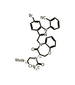 CN[C@@H](C)CN(C(=O)C(F)(F)F)[C@H]1COc2ccccc2N(Cc2nn(-c3ccccc3C#N)c3cc(Br)ccc23)C1=O